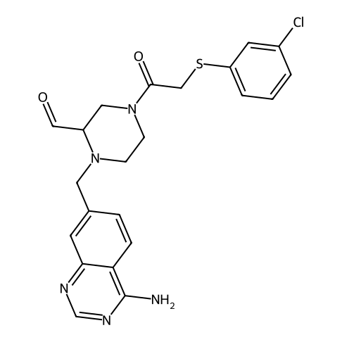 Nc1ncnc2cc(CN3CCN(C(=O)CSc4cccc(Cl)c4)CC3C=O)ccc12